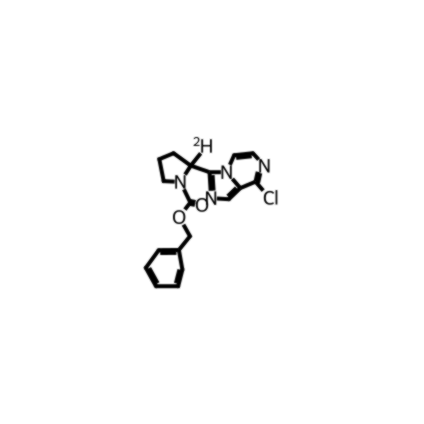 [2H]C1(c2ncc3c(Cl)nccn23)CCCN1C(=O)OCc1ccccc1